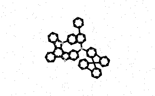 c1ccc(-c2ccc(N(c3ccc4c(c3)C3(c5ccccc5-c5ccccc53)c3ccccc3-4)c3ccc4sc5c6ccccc6c6c7ccccc7n(-c7ccccc7)c6c5c4c3)cc2)cc1